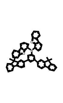 CC1(C)c2ccccc2-c2ccc(-c3cc(-c4ccc5c(c4)C(C)(C)c4ccccc4-5)cc(N(c4cccc5c4oc4ccccc45)c4cccc5c4oc4ccccc45)c3)cc21